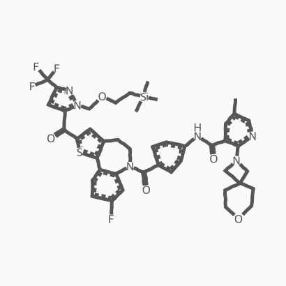 Cc1cnc(N2CC3(CCOCC3)C2)c(C(=O)Nc2ccc(C(=O)N3CCc4cc(C(=O)c5cc(C(F)(F)F)nn5COCC[Si](C)(C)C)sc4-c4ccc(F)cc43)cc2)c1